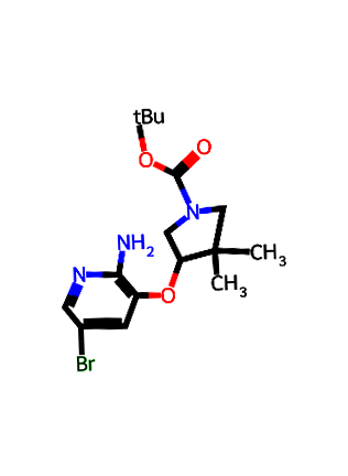 CC(C)(C)OC(=O)N1CC(Oc2cc(Br)cnc2N)C(C)(C)C1